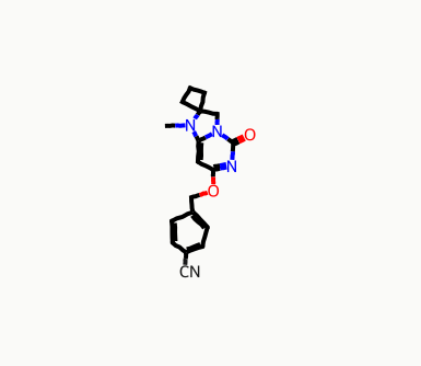 CN1c2cc(OCc3ccc(C#N)cc3)nc(=O)n2CC12CCC2